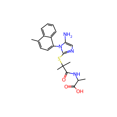 Cc1ccc(-n2c(N)cnc2SC(C)(C)C(=O)NC(C)C(=O)O)c2ccccc12